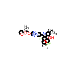 C[C@@H](COc1cnc(N2CCC(c3nc4c(c(C5CCC(F)(F)CC5)c3C(F)c3ccc(C(F)(F)F)cc3)[C@@H](O)CC(C)(C)C4)CC2)nc1)OC1CCCCO1